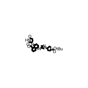 CC(C)(C)OC(=O)N1CCC(n2cc(Nc3ccc4c5c(cccc35)C(=O)N4C3CCC(=O)NC3=O)cn2)CC1